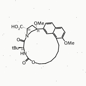 COc1ccc2ccc3cc2c1CCCCCCOC(=O)N[C@@H](C(C)(C)C)C(=O)N1C[C@@]3(OC)C[C@H]1C(=O)O